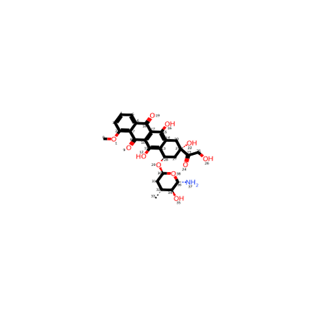 COc1cccc2c1C(=O)c1c(O)c3c(c(O)c1C2=O)C[C@@](O)(C(=O)CO)C[C@@H]3O[C@@H]1C[C@@H](C)[C@H](O)[C@@H](N)O1